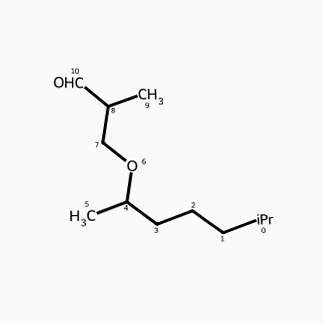 CC(C)CCCC(C)OCC(C)C=O